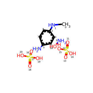 CNc1ccc(N)cc1.NO.O=S(=O)(O)O.O=S(=O)(O)O